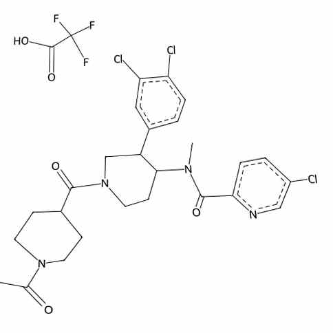 CC(=O)N1CCC(C(=O)N2CCC(N(C)C(=O)c3ccc(Cl)cn3)C(c3ccc(Cl)c(Cl)c3)C2)CC1.O=C(O)C(F)(F)F